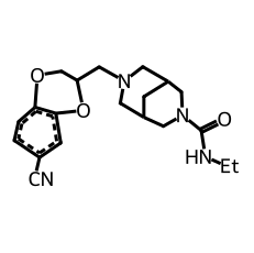 CCNC(=O)N1CC2CC(CN(CC3COc4ccc(C#N)cc4O3)C2)C1